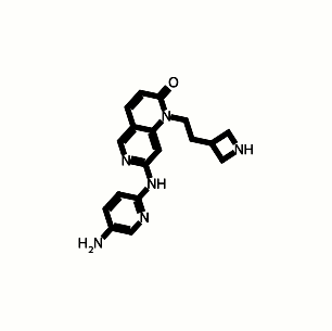 Nc1ccc(Nc2cc3c(ccc(=O)n3CCC3CNC3)cn2)nc1